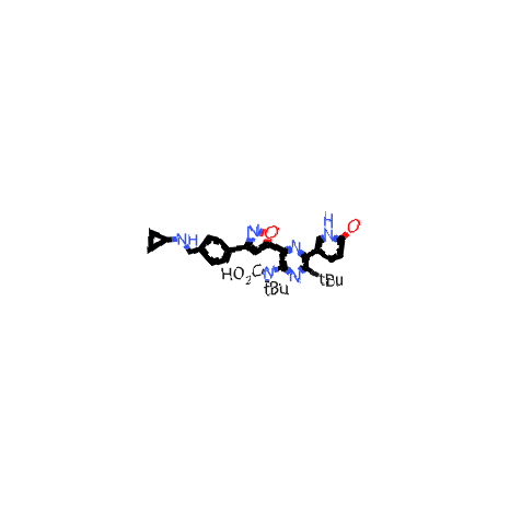 CC(C)(C)c1nc(N(C(=O)O)C(C)(C)C)c(-c2cc(-c3ccc(CNC4CC4)cc3)no2)nc1-c1ccc(=O)[nH]c1